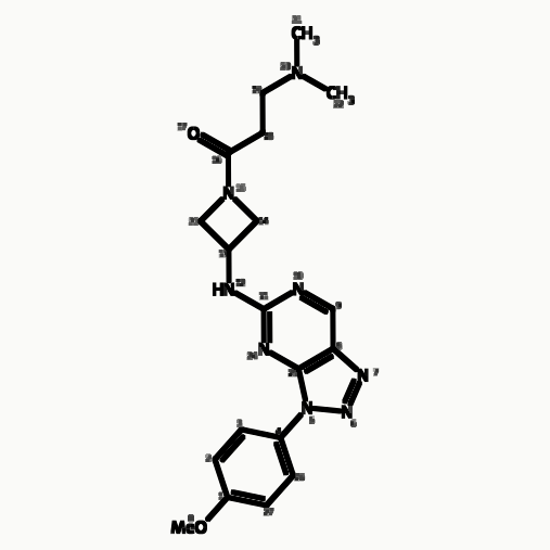 COc1ccc(-n2nnc3cnc(NC4CN(C(=O)CCN(C)C)C4)nc32)cc1